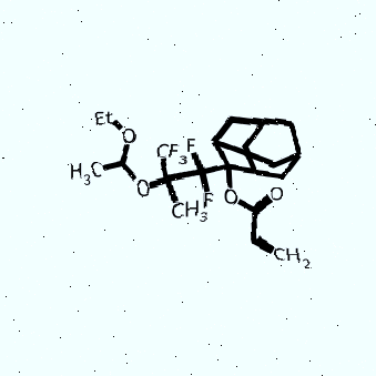 C=CC(=O)OC1(C(F)(F)C(C)(OC(C)OCC)C(F)(F)F)C2CC3CC(C2)CC1C3